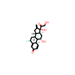 C=C1C[C@H]2[C@@H]3C[C@H](F)C4=CC(=O)C=C[C@]4(C)[C@@]3(F)[C@@H](O)C[C@]2(C)[C@@]1(O)C(=O)CO